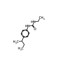 CCNC(=O)Nc1ccc(C(C)CC)cc1